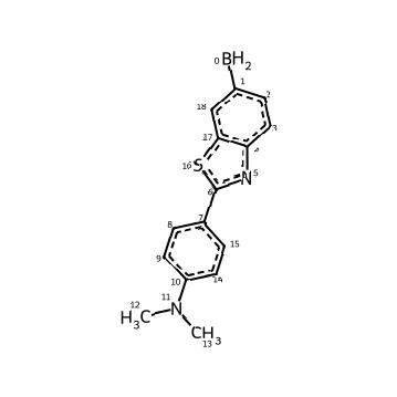 Bc1ccc2nc(-c3ccc(N(C)C)cc3)sc2c1